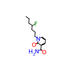 CCCC(F)CCCn1cccc(C(N)=O)c1=O